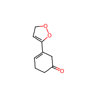 O=C1CCC=C(C2=CCOO2)C1